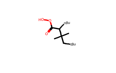 CCCCC(C(=O)OO)C(C)(C)CC(C)(C)C